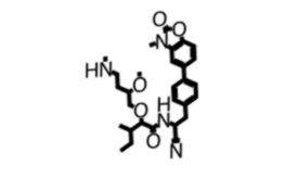 CCC(C)C(OCC(CCNC)OC)C(=O)NC(C#N)Cc1ccc(-c2ccc3oc(=O)n(C)c3c2)cc1